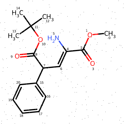 COC(=O)C(N)=CC(C(=O)OC(C)(C)C)c1ccccc1